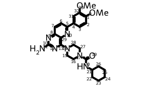 COc1ccc(-c2ccc3nc(N)nc(N4CCN(C(=O)NC5CCCCC5)CC4)c3n2)cc1OC